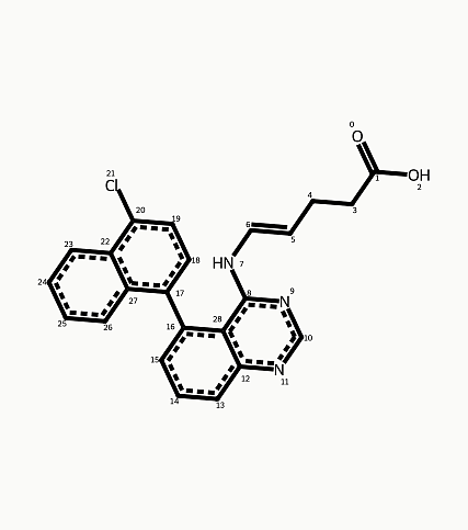 O=C(O)CC/C=C/Nc1ncnc2cccc(-c3ccc(Cl)c4ccccc34)c12